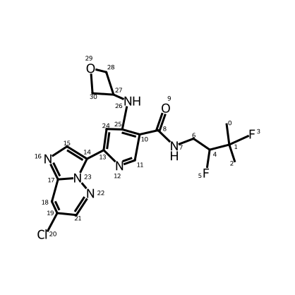 CC(C)(F)C(F)CNC(=O)c1cnc(-c2cnc3cc(Cl)cnn23)cc1NC1COC1